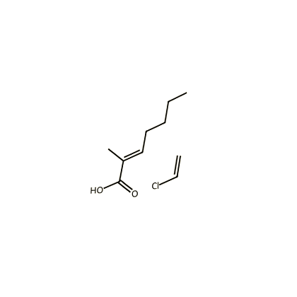 C=CCl.CCCC/C=C(\C)C(=O)O